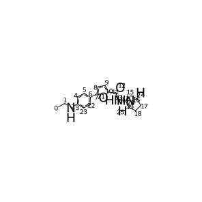 CCNc1ccc(-c2ccc(C(=O)N[C@@H]3C[C@H]4CC[C@@H]3N4)o2)cc1